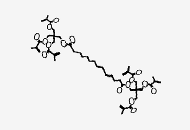 C=C(C)C(=O)OCC(COC(=O)CCCCCCCCCCCCC(=O)OCC(COC(=O)C(=C)C)(COC(=O)C(=C)C)COC(=O)C(=C)C)(COC(=O)C(=C)C)COC(=O)C(=C)C